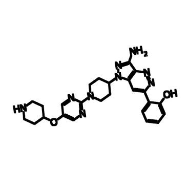 Nc1nn(C2CCN(c3ncc(OC4CCNCC4)cn3)CC2)c2cc(-c3ccccc3O)nnc12